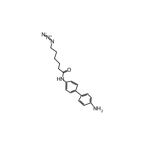 [N-]=[N+]=NCCCCCC(=O)Nc1ccc(-c2ccc(N)cc2)cc1